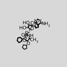 C[C@H](N[P@](=O)(OC[C@H]1O[C@@](C)(c2ccc3c(N)ncnn23)[C@H](O)[C@@H]1O)Oc1ccccc1)C(=O)OC1CCCC1